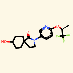 C[C@H](Oc1ccc(N2CCC3(CCC(O)CC3)C2=O)cn1)C(F)(F)F